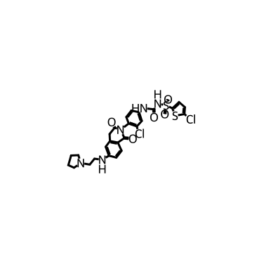 O=C(Nc1ccc(N2C(=O)Cc3cc(NCCN4CCCC4)ccc3C2=O)c(Cl)c1)NS(=O)(=O)c1ccc(Cl)s1